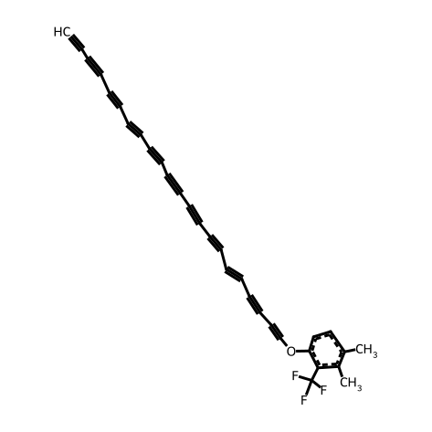 C#CC#CC#CC#CC#CC#CC#CC#CC#CC#CC#COc1ccc(C)c(C)c1C(F)(F)F